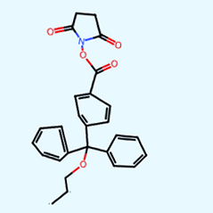 [CH2][CH]COC(c1ccccc1)(c1ccccc1)c1ccc(C(=O)ON2C(=O)CCC2=O)cc1